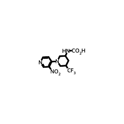 O=C(O)NC1CC(C(F)(F)F)CN(c2ccncc2[N+](=O)[O-])C1